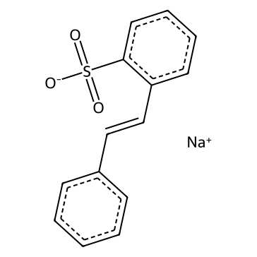 O=S(=O)([O-])c1ccccc1C=Cc1ccccc1.[Na+]